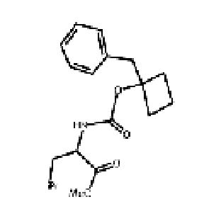 COC(=O)C(CC(C)C)NC(=O)OC1(Cc2ccccc2)CCC1